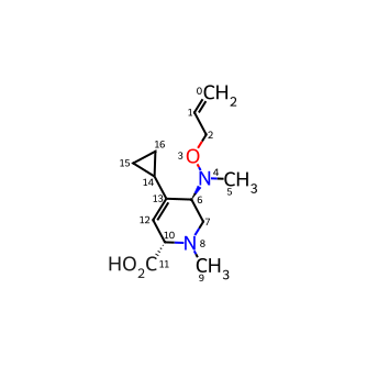 C=CCON(C)[C@H]1CN(C)[C@H](C(=O)O)C=C1C1CC1